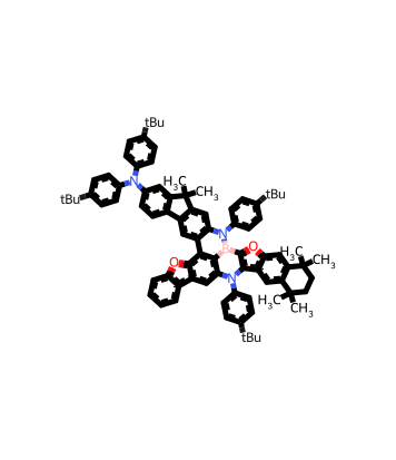 CC(C)(C)c1ccc(N2B3c4oc5cc6c(cc5c4N(c4ccc(C(C)(C)C)cc4)c4cc5c(oc7ccccc75)c(c43)-c3cc4c(cc32)C(C)(C)c2cc(N(c3ccc(C(C)(C)C)cc3)c3ccc(C(C)(C)C)cc3)ccc2-4)C(C)(C)CCC6(C)C)cc1